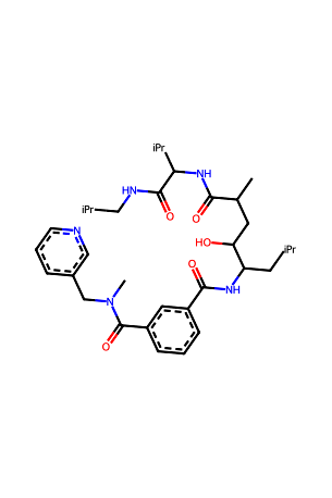 CC(C)CNC(=O)C(NC(=O)C(C)CC(O)C(CC(C)C)NC(=O)c1cccc(C(=O)N(C)Cc2cccnc2)c1)C(C)C